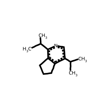 CC(C)c1cnc(C(C)C)c2c1CCC2